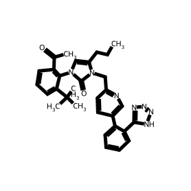 CCCc1cn(-c2c(C(C)=O)cccc2C(C)(C)C)c(=O)n1Cc1ccc(-c2ccccc2-c2nnn[nH]2)cn1